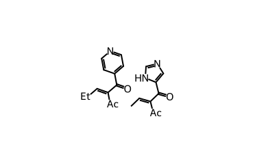 CC=C(C(C)=O)C(=O)c1cnc[nH]1.CCC=C(C(C)=O)C(=O)c1ccncc1